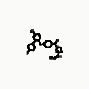 CSNc1ccn(C(=O)N2CCN(Cc3ccc(Cl)cc3N3CCC(F)CC3)CC2)n1